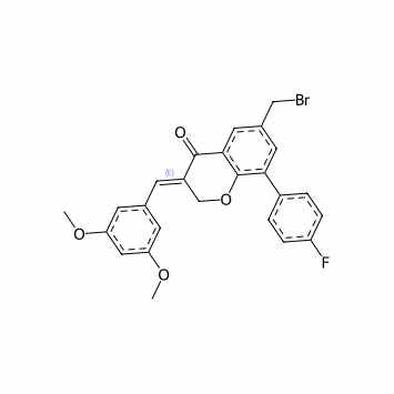 COc1cc(/C=C2\COc3c(cc(CBr)cc3-c3ccc(F)cc3)C2=O)cc(OC)c1